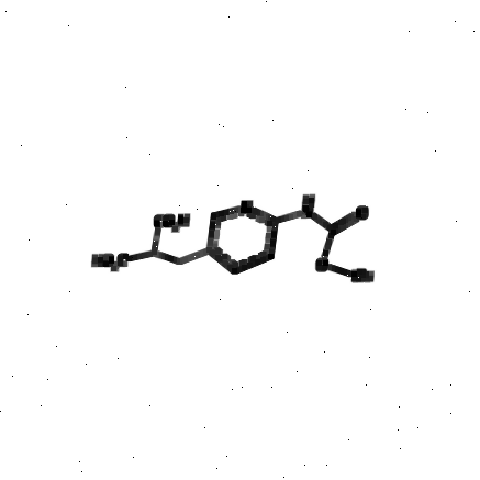 CC(C)(C)OC(=O)Nc1ccc(CC(C(=O)O)C(=O)O)cn1